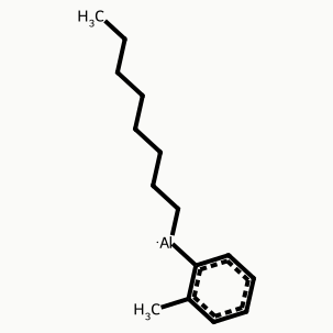 CCCCCCC[CH2][Al][c]1ccccc1C